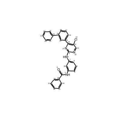 O=C(Nc1cccc(Nc2ncc(Cl)c(-c3cccc(-c4ccccc4)c3)n2)c1)c1ccccc1